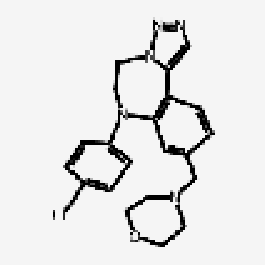 Clc1ccc(N2CCn3nncc3-c3ccc(CN4CCOCC4)cc32)cc1